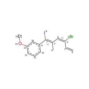 C=C/C(Br)=C\C(C)=C(/I)c1cccc(OCC)c1